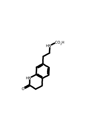 O=C(O)NCCc1ccc2c(c1)NC(=O)CC2